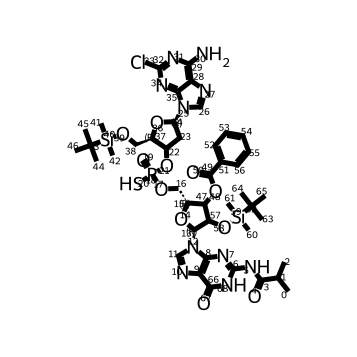 CC(C)C(=O)Nc1nc2c(ncn2[C@@H]2O[C@H](COP(=O)(S)OC3C[C@H](n4cnc5c(N)nc(Cl)nc54)O[C@@H]3CO[Si](C)(C)C(C)(C)C)C(OC(=O)c3ccccc3)C2O[Si](C)(C)C(C)(C)C)c(=O)[nH]1